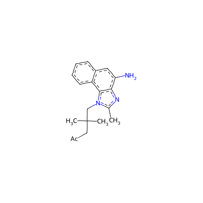 CC(=O)CC(C)(C)Cn1c(C)nc2c(N)cc3ccccc3c21